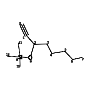 C#CC(CCCCC)O[Si](C)(C)C